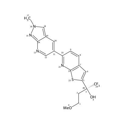 COCC[C@](O)(c1cc2ccc(-c3cnc4nn(C)cc4c3)nc2s1)C(F)(F)F